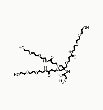 NCC(O)NC(COCCC(=O)NCCOCCOCCO)(COCCC(=O)NCCOCCOCCO)COCCC(=O)NCCOCCOCCO